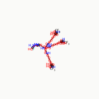 N/C(=C\N(N)c1ccc(O)c(F)c1)c1ccc2cc(OCCCC(=O)NC(COCCC(=O)NCCOCCOCCOCCOC[C@@]34CO[C@H](O3)[C@H](NC(=O)C(F)(F)F)[C@@H](O)[C@H]4O)(COCCC(=O)NCCOCCOCCOCCOC[C@@]34CO[C@H](O3)[C@H](NC(=O)C(F)(F)F)[C@@H](O)[C@H]4O)COCCC(=O)NCCOCCOCCOCCOC[C@@]34CO[C@H](O3)[C@H](NC(=O)C(F)(F)F)[C@@H](O)[C@H]4O)ccc2n1